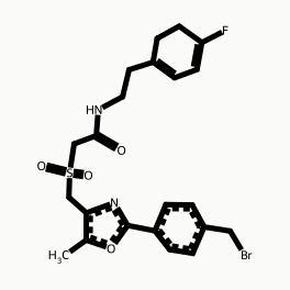 Cc1oc(-c2ccc(CBr)cc2)nc1CS(=O)(=O)CC(=O)NCCC1=CC=C(F)CC1